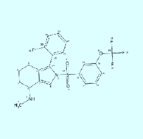 CNC1CCCc2c1cn(S(=O)(=O)c1cccc(OC(F)(F)F)c1)c2-c1ccccc1F